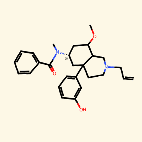 C=CCN1CCC2(c3cccc(O)c3)C[C@H](N(C)C(=O)c3ccccc3)CC(OC)C2C1